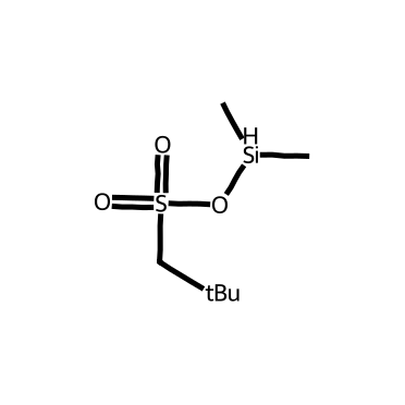 C[SiH](C)OS(=O)(=O)CC(C)(C)C